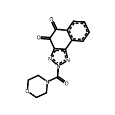 O=C1C(=O)c2nn(C(=O)N3CCOCC3)nc2-c2ccccc21